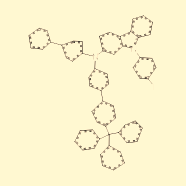 Fc1ccc(-n2c3ccccc3c3ccc(N(c4ccc(-c5ccccc5)cc4)c4ccc(-c5ccc(C(c6ccccc6)(c6ccccc6)c6ccccc6)cc5)cc4)cc32)cc1